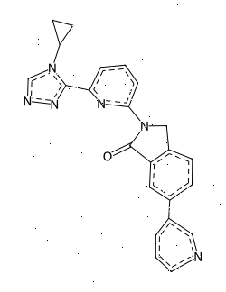 O=C1c2cc(-c3cccnc3)ccc2CN1c1cccc(-c2nncn2C2CC2)n1